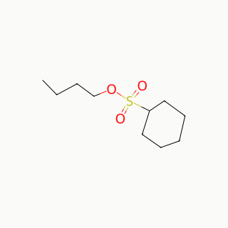 CCCCOS(=O)(=O)C1CCCCC1